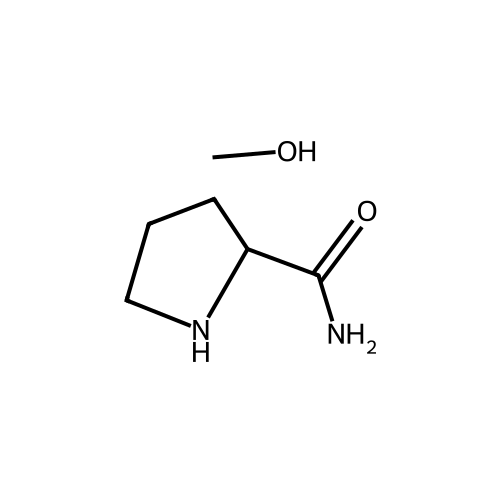 CO.NC(=O)C1CCCN1